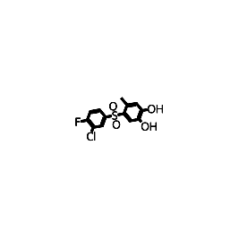 Cc1cc(O)c(O)cc1S(=O)(=O)c1ccc(F)c(Cl)c1